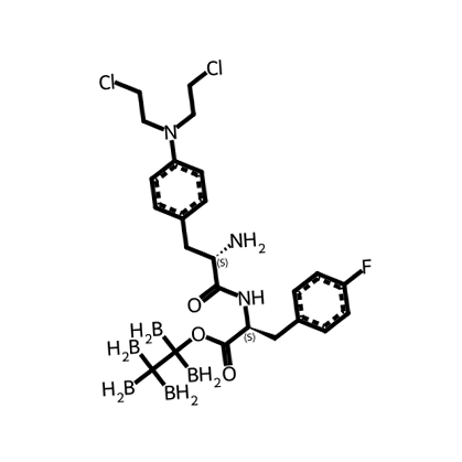 BC(B)(B)C(B)(B)OC(=O)[C@H](Cc1ccc(F)cc1)NC(=O)[C@@H](N)Cc1ccc(N(CCCl)CCCl)cc1